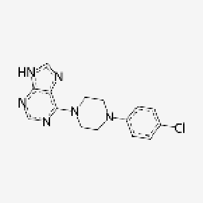 Clc1ccc(N2CCN(c3ncnc4[nH]cnc34)CC2)cc1